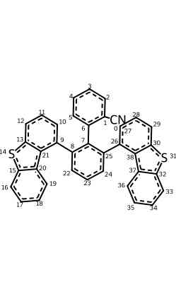 N#Cc1ccccc1-c1c(-c2cccc3sc4ccccc4c23)cccc1-c1cccc2sc3ccccc3c12